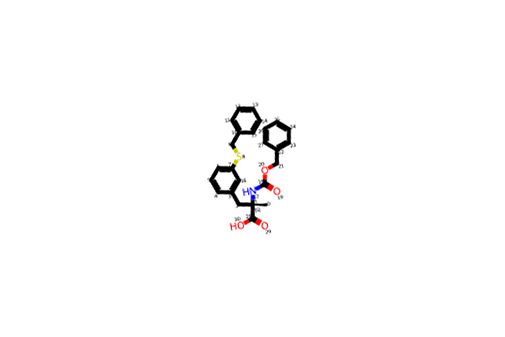 C[C@@](Cc1cccc(SCc2ccccc2)c1)(NC(=O)OCc1ccccc1)C(=O)O